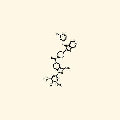 Cc1cc(-c2nn(C)c3cc(C(=O)N4CCC(c5nc6ccccc6n5Cc5cccc(F)c5)CC4)ccc23)cn(C)c1=O